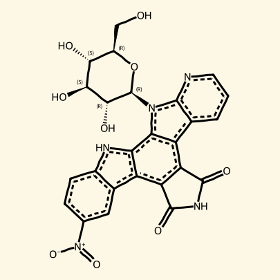 O=C1NC(=O)c2c1c1c3cc([N+](=O)[O-])ccc3[nH]c1c1c2c2cccnc2n1[C@@H]1O[C@H](CO)[C@@H](O)[C@H](O)[C@H]1O